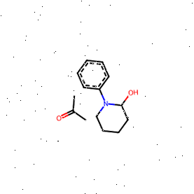 CC(C)=O.OC1CCCCN1c1ccccc1